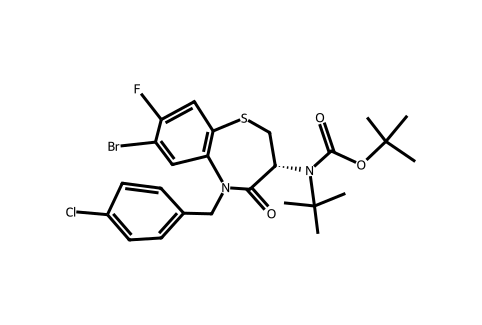 CC(C)(C)OC(=O)N([C@H]1CSc2cc(F)c(Br)cc2N(Cc2ccc(Cl)cc2)C1=O)C(C)(C)C